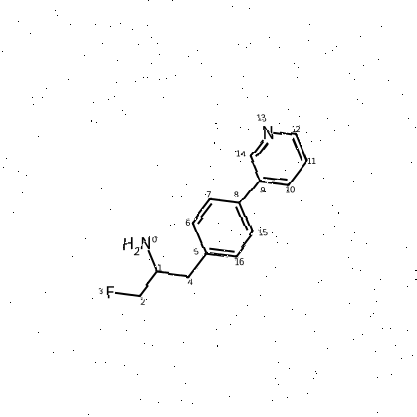 NC(CF)Cc1ccc(-c2cccnc2)cc1